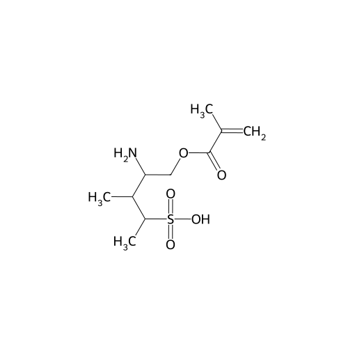 C=C(C)C(=O)OCC(N)C(C)C(C)S(=O)(=O)O